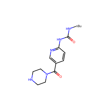 CCCCNC(=O)Nc1ccc(C(=O)N2CCNCC2)cn1